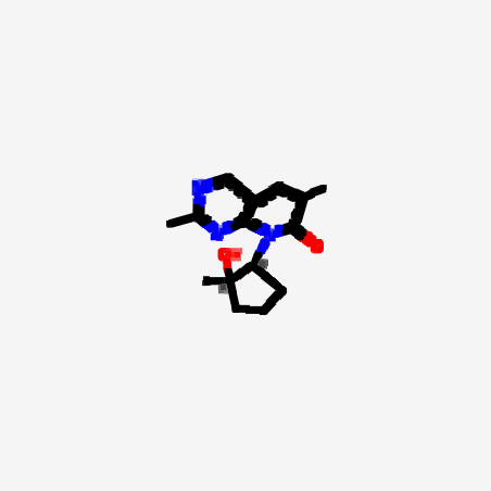 Cc1ncc2cc(C)c(=O)n([C@H]3CCC[C@]3(C)O)c2n1